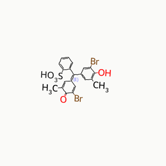 CC1=C/C(=C(/c2cc(C)c(O)c(Br)c2)c2ccccc2S(=O)(=O)O)C=C(Br)C1=O